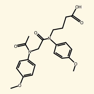 COc1ccc(N(CC(=O)N(CCCC(=O)O)c2ccc(OC)cc2)C(C)=O)cc1